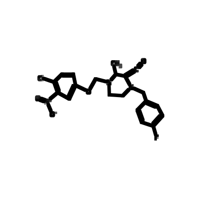 CC1C(=C=O)N(Cc2ccc(F)cc2)CCN1COc1ccc(Cl)c([N+](=O)[O-])c1